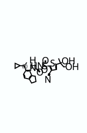 C[C@@H](c1ccc2c(c1NC(=O)NS(=O)(=O)c1sc(C(C)(O)CO)cc1C#N)CCC2)C1CC1